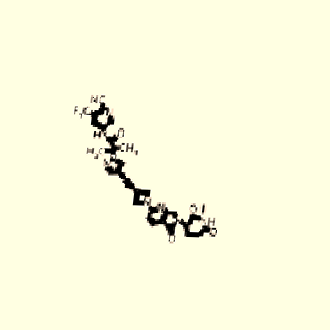 CC(C)(C(=O)Nc1cnc(C#N)c(C(F)(F)F)c1)n1cc(C#CC2CN(c3ccc4c(n3)CN(C3CCC(=O)NC3O)C4=O)C2)cn1